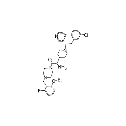 CCOc1cccc(F)c1CN1CCN(C(=O)[C@H](N)C2CCN(CCc3cc(Cl)ccc3-c3ccncc3)CC2)CC1